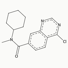 CN(C(=O)c1ccc2c(Cl)ncnc2c1)C1CCCCC1